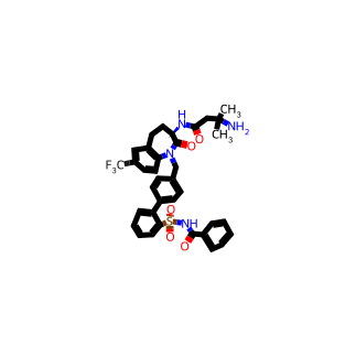 CC(C)(N)CC(=O)N[C@@H]1CCc2cc(C(F)(F)F)ccc2N(Cc2ccc(-c3ccccc3S(=O)(=O)NC(=O)c3ccccc3)cc2)C1=O